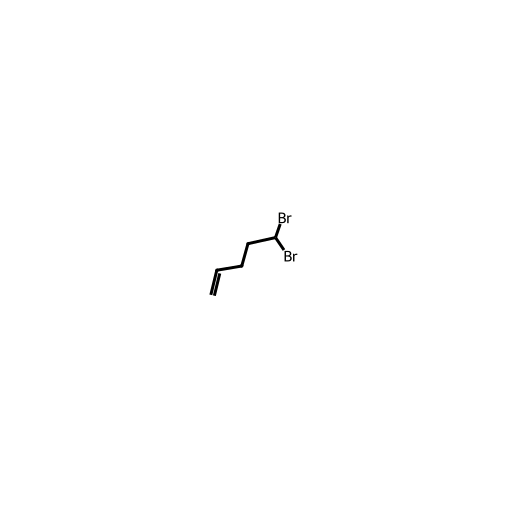 C=CCCC(Br)Br